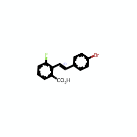 O=C(O)c1cccc(F)c1/C=C/c1ccc(Br)cc1